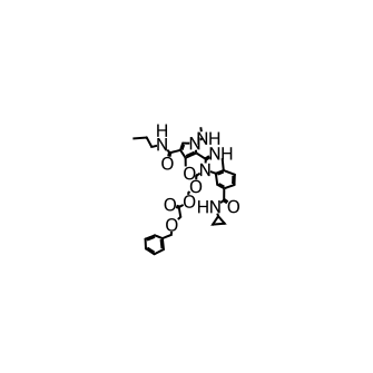 CCCNC(=O)c1cn(NC)c(C(=N)N(C(=O)OCOC(=O)COCc2ccccc2)c2cc(C(=O)NC3CC3)ccc2C)c1C